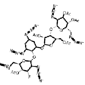 CC(=O)OC[C@H]1O[C@@H](O[C@@H]2CC(N=[N+]=[N-])CC(N=[N+]=[N-])[C@H]2O[C@H]2O[C@H](CN=[N+]=[N-])[C@@H](OC(C)=O)[C@@H](F)C2N=[N+]=[N-])[C@H](OC(C)=O)[C@@H]1O[C@H]1O[C@@H](CN=[N+]=[N-])[C@@H](OC(C)=O)[C@H](OC(C)=O)C1N=[N+]=[N-]